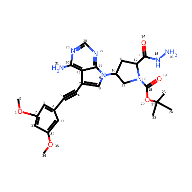 COc1cc(C#Cc2cn(C3CC(C(=O)NN)N(C(=O)OC(C)(C)C)C3)c3ncnc(N)c23)cc(OC)c1